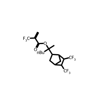 C=C(C(=O)OC(C)(CCCC)C1CC2CC1C(C(F)(F)F)C2C(F)(F)F)C(F)(F)F